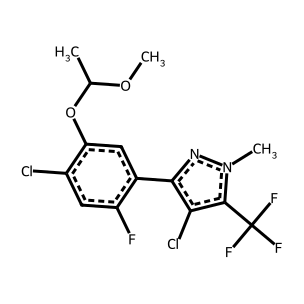 COC(C)Oc1cc(-c2nn(C)c(C(F)(F)F)c2Cl)c(F)cc1Cl